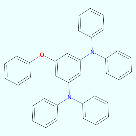 c1ccc(Oc2cc(N(c3ccccc3)c3ccccc3)cc(N(c3ccccc3)c3ccccc3)c2)cc1